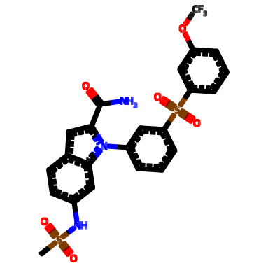 CS(=O)(=O)Nc1ccc2cc(C(N)=O)n(-c3cccc(S(=O)(=O)c4cccc(OC(F)(F)F)c4)c3)c2c1